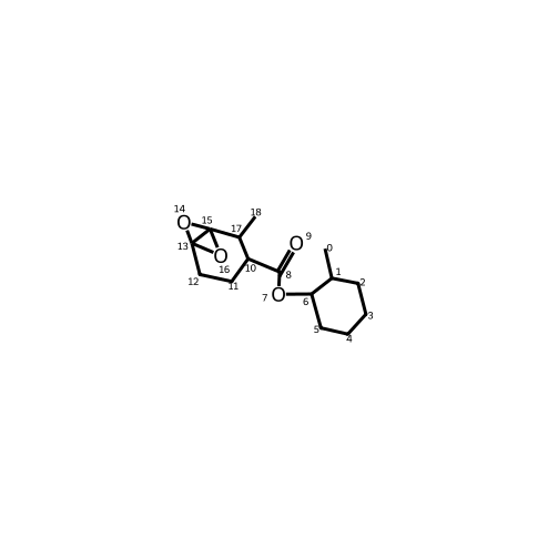 CC1CCCCC1OC(=O)C1CCC23OC2(O3)C1C